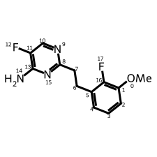 COc1cccc(CCc2ncc(F)c(N)n2)c1F